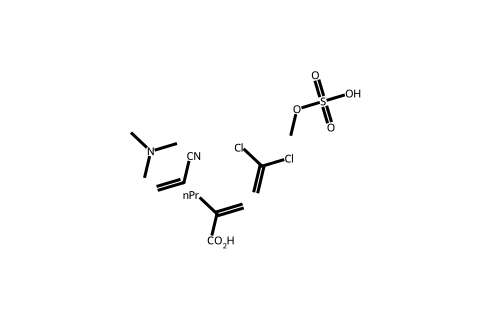 C=C(CCC)C(=O)O.C=C(Cl)Cl.C=CC#N.CN(C)C.COS(=O)(=O)O